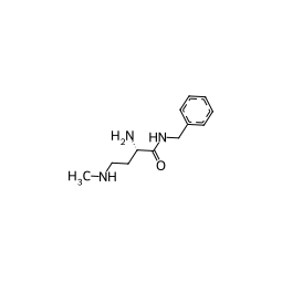 CNCC[C@H](N)C(=O)NCc1ccccc1